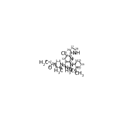 C=CC(=O)N1CCN(c2nc(=O)n(-c3ccccc3C(C)C)c3nc(-c4ccc[nH]4)c(Cl)cc23)[C@@H](C)C1